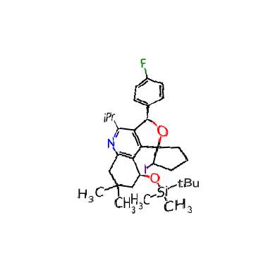 CC(C)c1nc2c(c3c1[C@@H](c1ccc(F)cc1)OC31CCCC1I)[C@@H](O[Si](C)(C)C(C)(C)C)CC(C)(C)C2